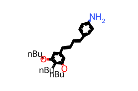 CCCCOc1cc(/C=C/C=C/c2ccc(N)cc2)cc(OCCCC)c1CCCC